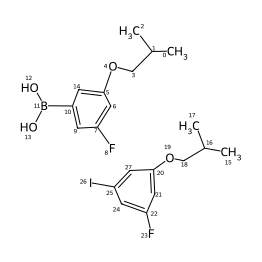 CC(C)COc1cc(F)cc(B(O)O)c1.CC(C)COc1cc(F)cc(I)c1